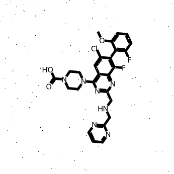 COc1cccc(F)c1-c1c(Cl)cc2c(N3CCN(C(=O)O)CC3)nc(CNCc3ncccn3)nc2c1F